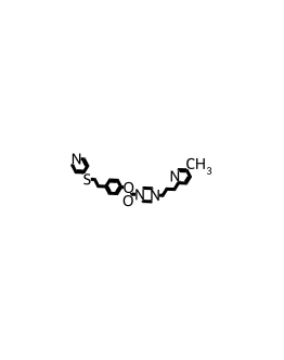 Cc1ccc(CCCN2CCN(C(=O)Oc3ccc(CCSc4ccncc4)cc3)CC2)nc1